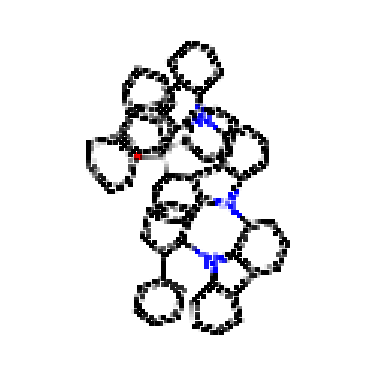 c1ccc(-c2ccccc2-n2c3ccccc3c3cccc(-n4c5cccc(-n6c7ccccc7c7ccccc76)c5c5c([Si](c6ccccc6)(c6ccccc6)c6ccccc6)cccc54)c32)cc1